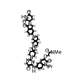 CNC(=O)COc1cc2cc(Nc3nc(N4CCC(F)(CN5CCC6(CCN(c7ccc8c(c7)CN(C7CCC(=O)NC7=O)C8=O)C6)C5)CC4)ncc3Cl)ccc2n(C(C)C)c1=O